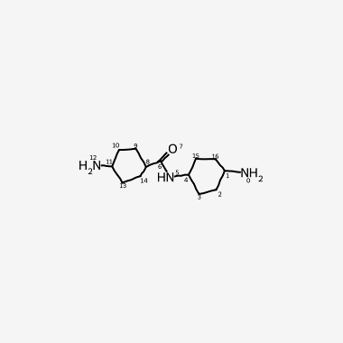 NC1CCC(NC(=O)C2CCC(N)CC2)CC1